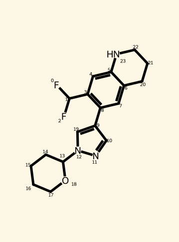 FC(F)c1cc2c(cc1-c1cnn(C3CCCCO3)c1)CCCN2